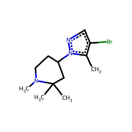 Cc1c(Br)cnn1C1CCN(C)C(C)(C)C1